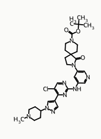 CN1CCC(n2cc(-c3nc(Nc4cncc(N5CCC6(CCN(C(=O)OC(C)(C)C)CC6)C5=O)c4)ncc3Cl)cn2)CC1